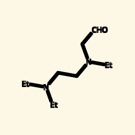 CCN(CC)CCN(CC)CC=O